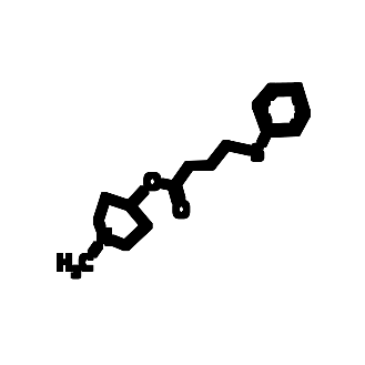 CN1CCC(OC(=O)CCCSc2ccccc2)CC1